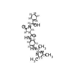 Cc1cc(C)nc(C(C)Nc2ccc(NC(=O)C3CC(=O)N(CC(O)c4ccccc4)C3)cc2)n1